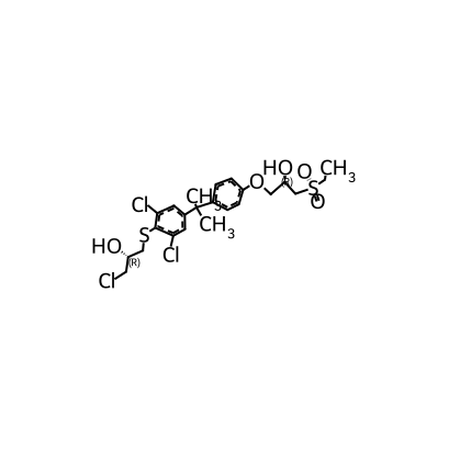 CCS(=O)(=O)C[C@H](O)COc1ccc(C(C)(C)c2cc(Cl)c(SC[C@@H](O)CCl)c(Cl)c2)cc1